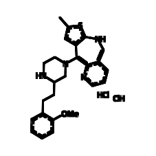 COc1ccccc1CCC1CN(C2=c3ncccc3=CNc3sc(C)cc32)CCN1.Cl.Cl